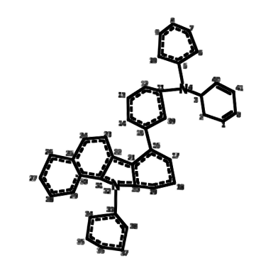 C1=CCC(N(c2ccccc2)c2cccc(-c3cccc4c3c3ccc5ccccc5c3n4-c3ccccc3)c2)C=C1